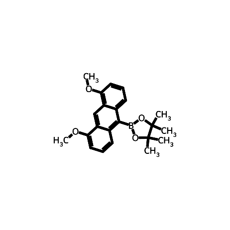 COc1cccc2c(B3OC(C)(C)C(C)(C)O3)c3cccc(OC)c3cc12